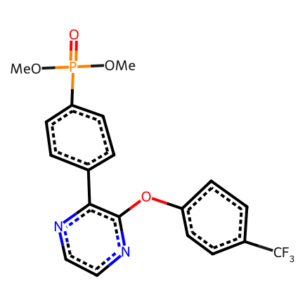 COP(=O)(OC)c1ccc(-c2nccnc2Oc2ccc(C(F)(F)F)cc2)cc1